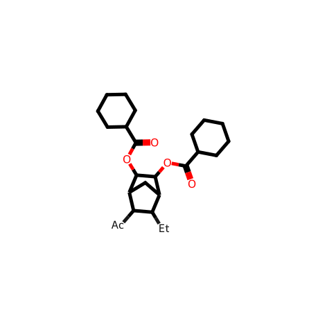 CCC1C2CC(C(OC(=O)C3CCCCC3)C2OC(=O)C2CCCCC2)C1C(C)=O